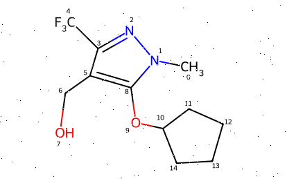 Cn1nc(C(F)(F)F)c(CO)c1OC1CCCC1